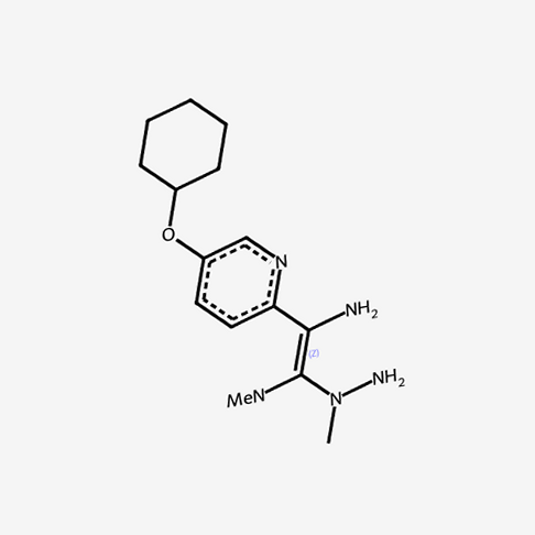 CN/C(=C(/N)c1ccc(OC2CCCCC2)cn1)N(C)N